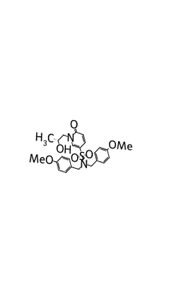 COc1ccc(CN(Cc2ccc(OC)cc2)S(=O)(=O)c2ccc(=O)n(C[C@@H](C)O)c2)cc1